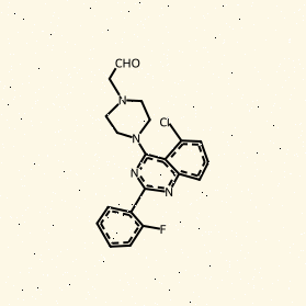 O=CCN1CCN(c2nc(-c3ccccc3F)nc3cccc(Cl)c23)CC1